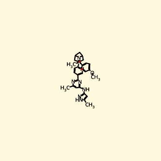 COc1ccc(C(C)N2C3CC2CN(c2ccc(-c4nc(C)cc(Nc5cc(C)[nH]n5)n4)cn2)C3)cc1